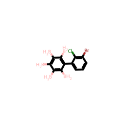 Bc1c(B)c(B)c(-c2cccc(Br)c2Cl)c(B)c1B